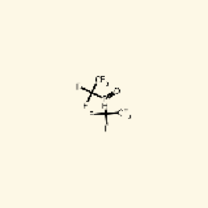 O=[PH](C(F)(F)C(F)(F)F)C(F)(F)C(F)(F)F